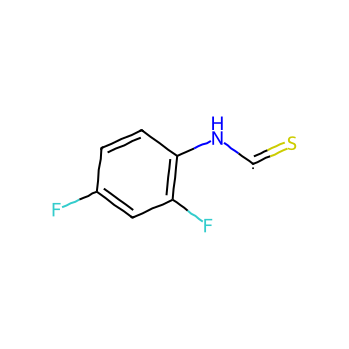 Fc1ccc(N[C]=S)c(F)c1